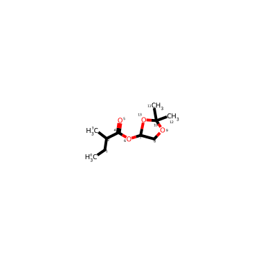 CCC(C)C(=O)OC1COC(C)(C)O1